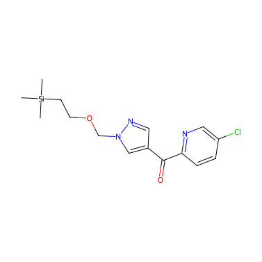 C[Si](C)(C)CCOCn1cc(C(=O)c2ccc(Cl)cn2)cn1